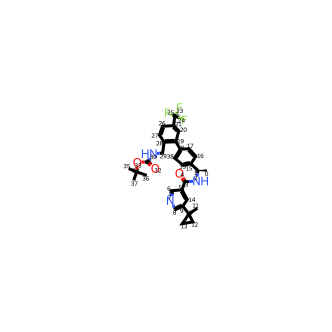 C[C@@H](NC(=O)c1cncc(C2(C)CC2)c1)c1ccc(-c2cc(C(F)(F)F)ccc2CNC(=O)OC(C)(C)C)cc1